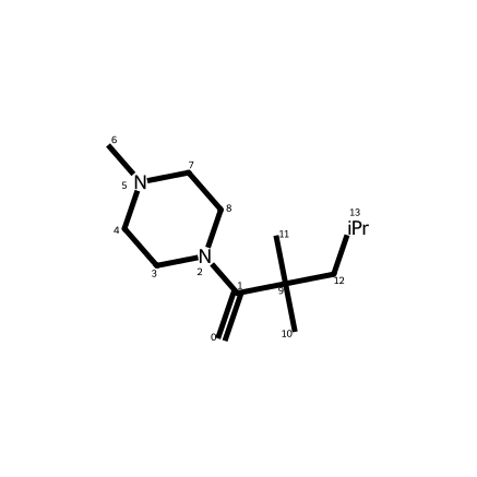 C=C(N1CCN(C)CC1)C(C)(C)CC(C)C